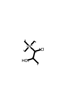 CC(O)C(Cl)[N+](C)(C)C